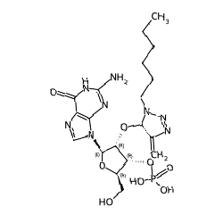 C=C1N=NN(CCCCCC)C1O[C@@H]1[C@H](OP(=O)(O)O)[C@@H](CO)O[C@H]1n1cnc2c(=O)[nH]c(N)nc21